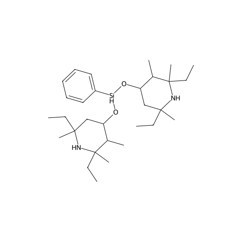 CCC1(C)CC(O[SiH](OC2CC(C)(CC)NC(C)(CC)C2C)c2ccccc2)C(C)C(C)(CC)N1